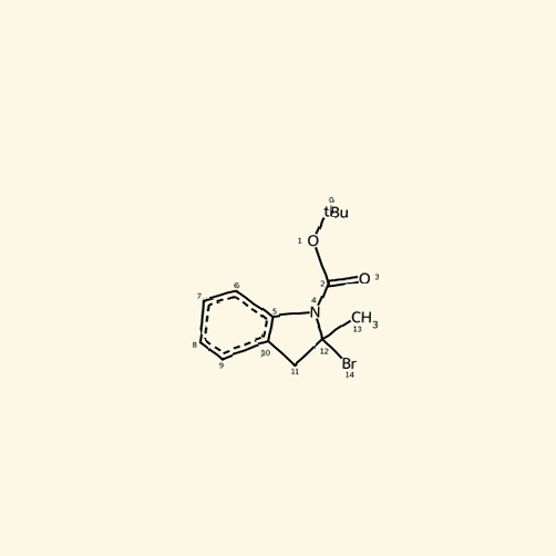 CC(C)(C)OC(=O)N1c2ccccc2CC1(C)Br